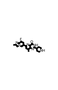 Cc1cn2cc(-c3cc(C)c4nc(C5CCNCC5)[nH]c(=O)c4n3)cc(F)c2n1